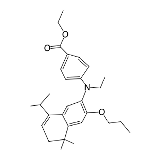 CCCOc1cc2c(cc1N(CC)c1ccc(C(=O)OCC)cc1)C(C(C)C)=CCC2(C)C